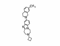 Cc1ccc2c(c1)CN(c1ccc3c(c1)nc1n3CCN(C3CCC3)CC1)CC2